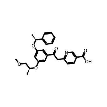 COC[C@H](C)Oc1cc(O[C@@H](C)c2ccccc2)cc(C(=O)Cc2ccc(C(=O)O)cn2)c1